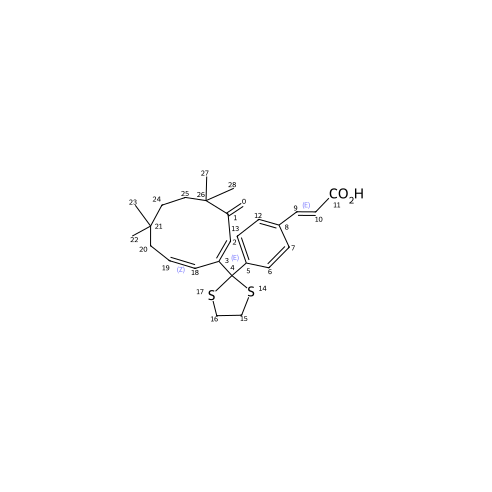 C=C1/C=C(C2(c3ccc(/C=C/C(=O)O)cc3)SCCS2)\C=C/CC(C)(C)CCC1(C)C